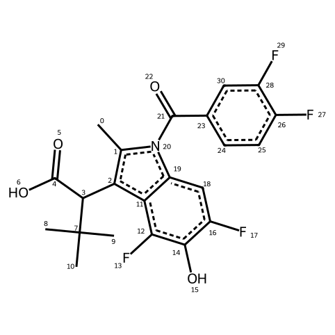 Cc1c(C(C(=O)O)C(C)(C)C)c2c(F)c(O)c(F)cc2n1C(=O)c1ccc(F)c(F)c1